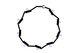 [C]1=C/C=C/C=C\C=C\C=C\C=C/C=C/C=C/C=C/CC/1